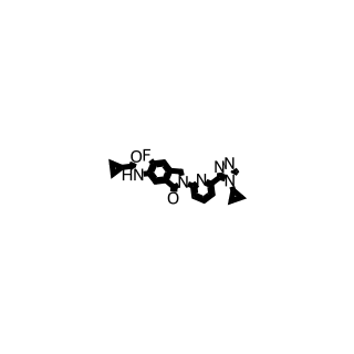 O=C(Nc1cc2c(cc1F)CN(c1cccc(-c3nncn3C3CC3)n1)C2=O)C1CC1